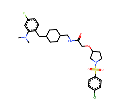 CN(C)c1cc(F)ccc1CC1CCC(CNC(=O)COC2CCN(S(=O)(=O)c3ccc(Cl)cc3)C2)CC1